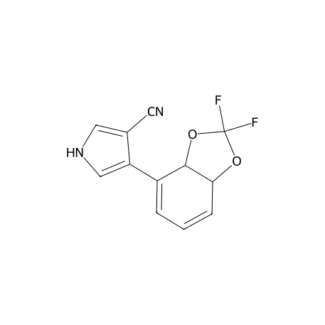 N#Cc1c[nH]cc1C1=CC=CC2OC(F)(F)OC12